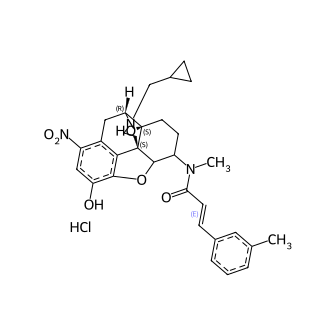 Cc1cccc(/C=C/C(=O)N(C)C2CC[C@@]3(O)[C@H]4Cc5c([N+](=O)[O-])cc(O)c6c5[C@@]3(CCN4CC3CC3)C2O6)c1.Cl